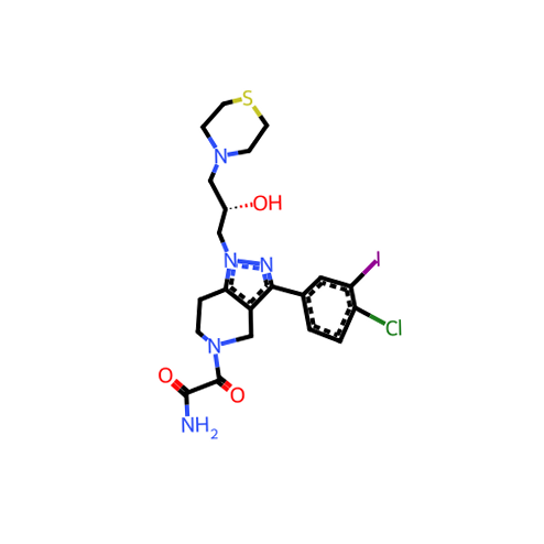 NC(=O)C(=O)N1CCc2c(c(-c3ccc(Cl)c(I)c3)nn2C[C@@H](O)CN2CCSCC2)C1